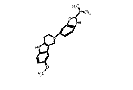 COc1ccc2[nH]c3c(c2c1)CN(c1ccc2c(c1)OC(N(C)C)N2)CC3